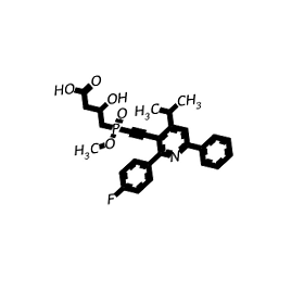 COP(=O)(C#Cc1c(C(C)C)cc(-c2ccccc2)nc1-c1ccc(F)cc1)CC(O)CC(=O)O